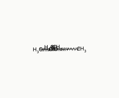 CCCCCC=CCC=CCC=CCCCCCOC[C@H](COCCCCCCCC)N(C)C